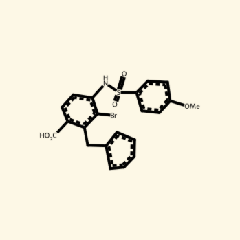 COc1ccc(S(=O)(=O)Nc2ccc(C(=O)O)c(Cc3ccccc3)c2Br)cc1